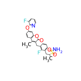 Cc1c(Cc2cccc(CC(C)S(N)(=O)=O)c2F)c(=O)oc2cc(Oc3ncccc3F)ccc12